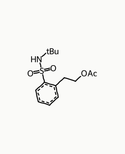 CC(=O)OCCc1ccccc1S(=O)(=O)NC(C)(C)C